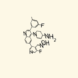 Cc1cc(F)cc(-c2cnc3ccc(-c4cncc(F)c4C=NO)cc3c2N2CCC(N)CC2)c1